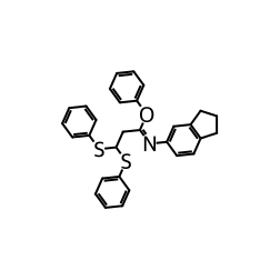 c1ccc(OC(CC(Sc2ccccc2)Sc2ccccc2)=Nc2ccc3c(c2)CCC3)cc1